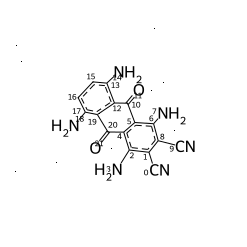 N#Cc1c(N)c2c(c(N)c1C#N)C(=O)c1c(N)ccc(N)c1C2=O